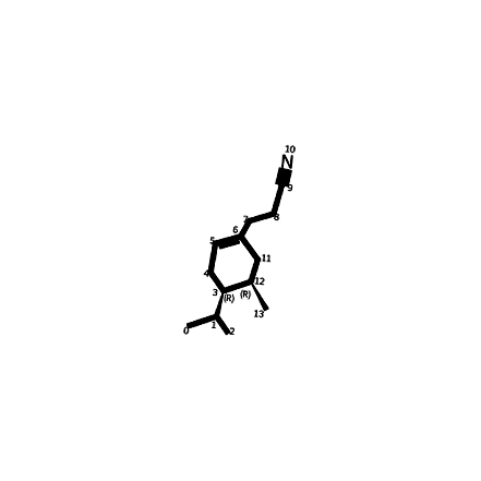 CC(C)[C@H]1CC=C(CCC#N)C[C@H]1C